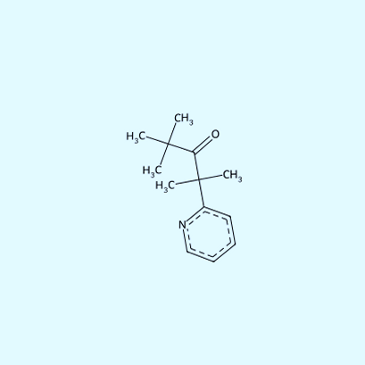 CC(C)(C)C(=O)C(C)(C)c1ccccn1